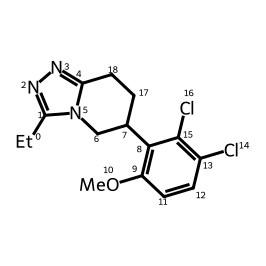 CCc1nnc2n1CC(c1c(OC)ccc(Cl)c1Cl)CC2